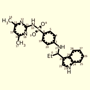 CCC(Nc1ccc(S(=O)(=O)Nc2nc(C)cc(C)n2)cc1)c1c[nH]c2ccccc12